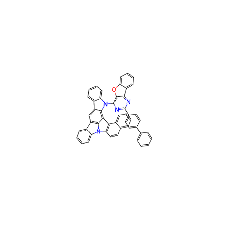 c1ccc(-c2ccc(-c3nc(-n4c5ccccc5c5cc6c7ccccc7n7c8ccc9ccccc9c8c(c54)c67)c4oc5ccccc5c4n3)cc2)cc1